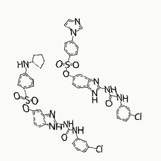 O=C(Nc1cccc(Cl)c1)Nc1nc2cc(OS(=O)(=O)c3ccc(-n4ccnc4)cc3)ccc2[nH]1.O=C(Nc1cccc(Cl)c1)Nc1nc2cc(OS(=O)(=O)c3ccc(NC4CCCC4)cc3)ccc2[nH]1